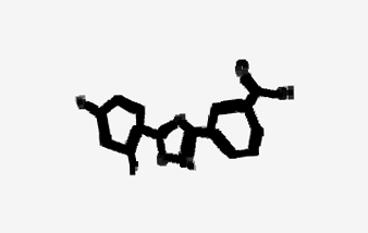 O=C(O)c1cccc(-c2noc(-c3ccc(F)cc3F)n2)c1